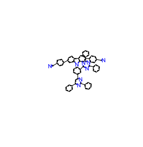 N#Cc1ccc(-c2ccc3c4ccc(-c5ccc(C#N)cc5)cc4n(-c4ccc(-c5cc(-c6ccccc6)nc(-c6ccccc6)n5)cc4-c4nc(-c5ccccc5)nc(-c5ccccc5)n4)c3c2)cc1